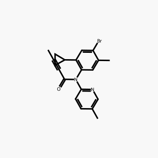 CC#CC(=O)N(c1ccc(C)cn1)c1cc(C)c(Br)cc1C1CC1